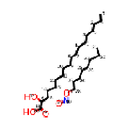 CCCCCCCCCCCCCCCCC(O)C(=O)O.CCCCCCCCON=O